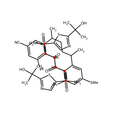 CSc1cc(C(C)C)c(NC(=O)N=S(N)(=O)c2cnc(C(C)(C)O)s2)c(C(C)CCC(C)c2cc(C#N)cc(C(C)C)c2NC(=O)N=S(N)(=O)c2cnc(C(C)(C)O)s2)c1